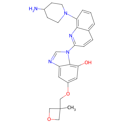 CC1(COc2cc(O)c3c(c2)ncn3-c2ccc3cccc(N4CCC(N)CC4)c3n2)COC1